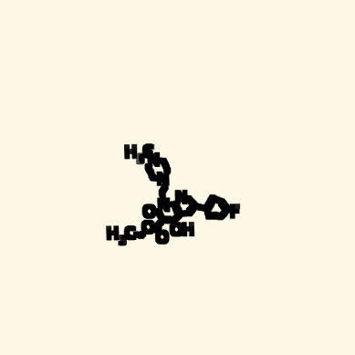 CCOC(=O)c1c(O)c2cc(-c3ccc(F)cc3)cnc2n(CCN2CCN(C)CC2)c1=O